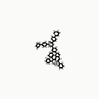 N=C(/C(=C1\NC(c2ccccc2)=Cc2ccc(-c3ccc(-c4cc(-c5ccc(-c6ccccc6)cc5)nc(-c5ccc(-c6ccccc6)cc5)n4)cc3)cc21)c1ccccc1)c1ccccc1